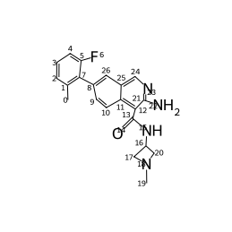 Cc1cccc(F)c1-c1ccc2c(C(=O)NC3CN(C)C3)c(N)ncc2c1